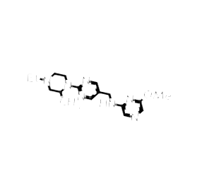 CCN1CCN(c2ncc(CNc3cncc(OC)n3)cn2)C(C)C1